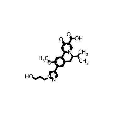 COc1cc2c(cc1-c1cnn(CCCO)c1)CC(C(C)C)n1cc(C(=O)O)c(=O)cc1-2